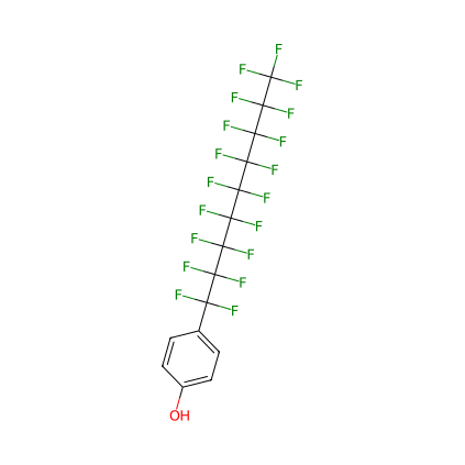 Oc1ccc(C(F)(F)C(F)(F)C(F)(F)C(F)(F)C(F)(F)C(F)(F)C(F)(F)C(F)(F)C(F)(F)F)cc1